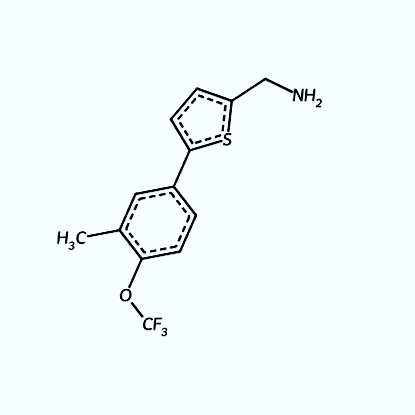 Cc1cc(-c2ccc(CN)s2)ccc1OC(F)(F)F